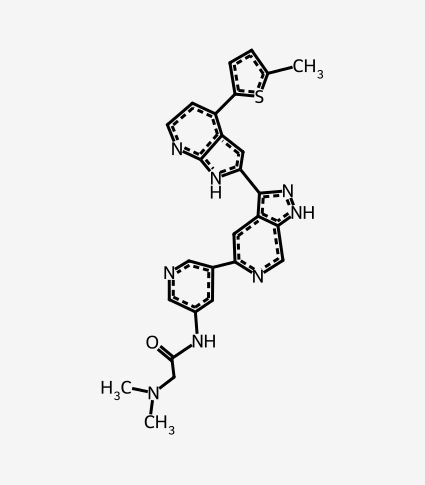 Cc1ccc(-c2ccnc3[nH]c(-c4n[nH]c5cnc(-c6cncc(NC(=O)CN(C)C)c6)cc45)cc23)s1